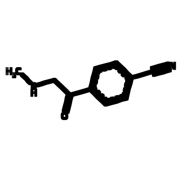 CBCC(=O)c1ccc(C#N)cc1